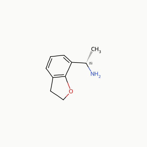 C[C@H](N)c1cccc2c1OCC2